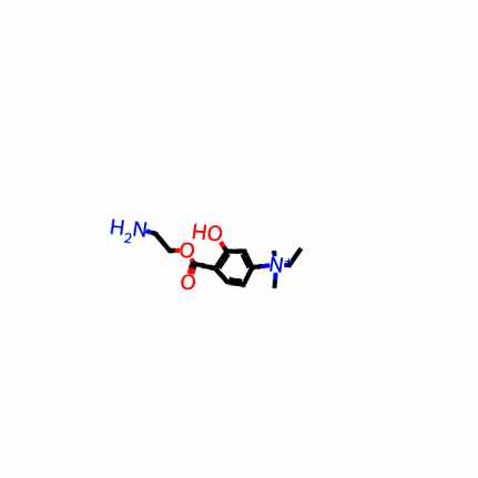 CC[N+](C)(C)c1ccc(C(=O)OCCN)c(O)c1